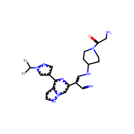 CCC(CC)n1cc(-c2nc(/C(C=N)=C/NC3CCN(C(=O)CN)CC3)cn3nccc23)cn1